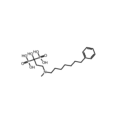 CN(CCCCCCCc1ccccc1)CCC(O)(P(=O)(O)O)P(=O)(O)O